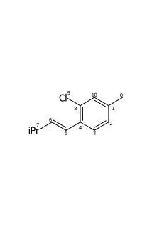 Cc1ccc(/C=C/C(C)C)c(Cl)c1